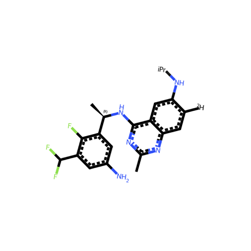 [2H]c1cc2nc(C)nc(N[C@H](C)c3cc(N)cc(C(F)F)c3F)c2cc1NC(C)C